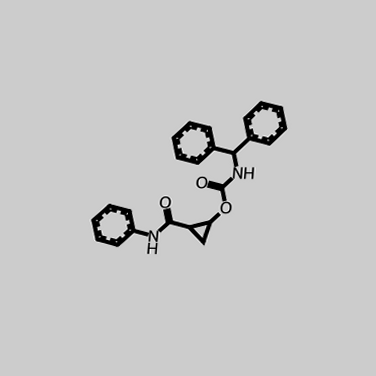 O=C(NC(c1ccccc1)c1ccccc1)OC1CC1C(=O)Nc1ccccc1